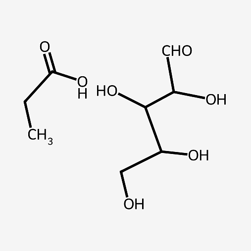 CCC(=O)O.O=CC(O)C(O)C(O)CO